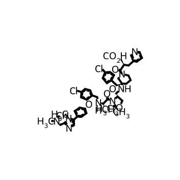 C[C@H](NCc1ccc(Cl)cc1Oc1ccc(-c2cnc(CN(C)C)n2C)cc1)C(=O)N1[C@H](C(=O)N[C@@]2(Cc3ccc(Cl)cc3)CCCN(C(=O)[C@@H](CC(=O)O)Cc3cccnc3)C2)COC1(C)C